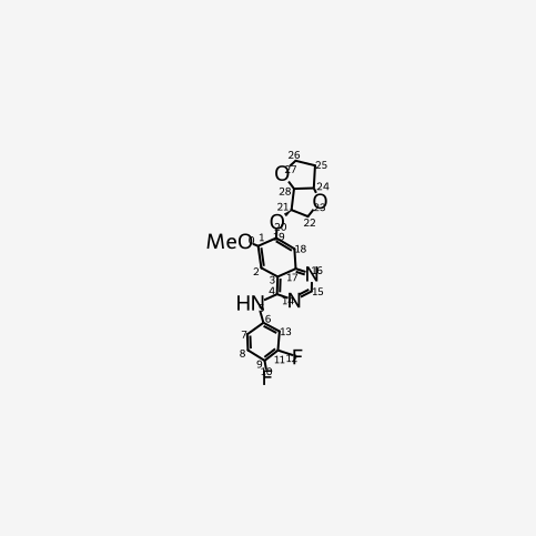 COc1cc2c(Nc3ccc(F)c(F)c3)ncnc2cc1O[C@@H]1COC2CCOC21